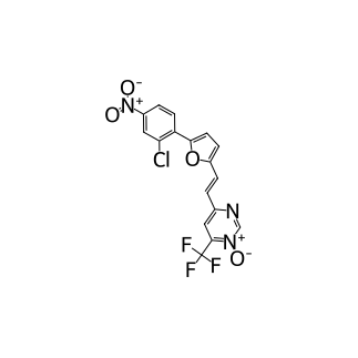 O=[N+]([O-])c1ccc(-c2ccc(C=Cc3cc(C(F)(F)F)[n+]([O-])cn3)o2)c(Cl)c1